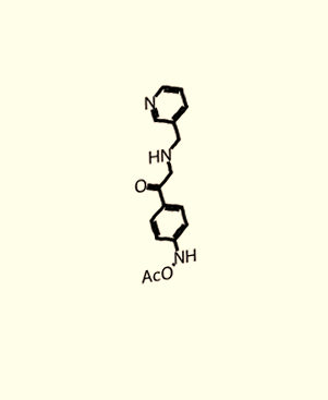 CC(=O)ONc1ccc(C(=O)CNCc2cccnc2)cc1